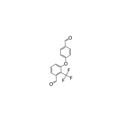 O=Cc1ccc(Oc2cccc(C=O)c2C(F)(F)F)cc1